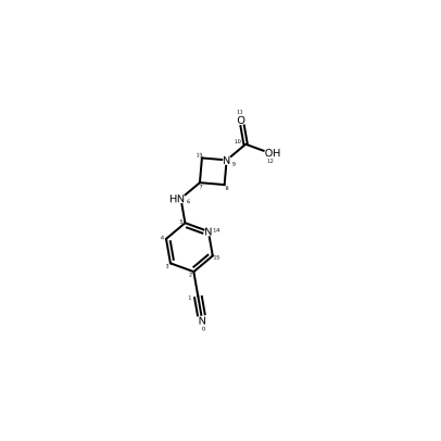 N#Cc1ccc(NC2CN(C(=O)O)C2)nc1